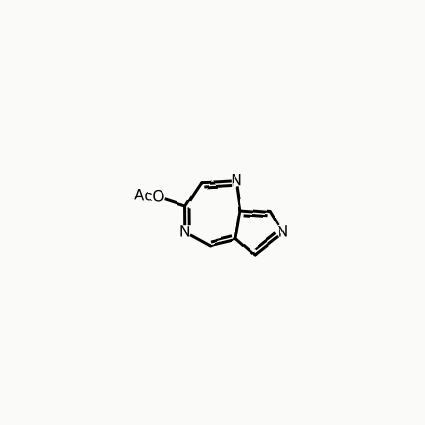 CC(=O)Oc1cnc2cncc-2cn1